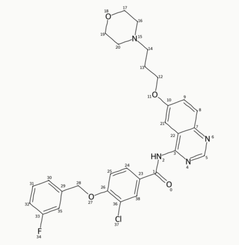 O=C(Nc1ncnc2ccc(OCCCN3CCOCC3)cc12)c1ccc(OCc2cccc(F)c2)c(Cl)c1